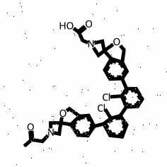 CC(=O)CN1CC2(C1)OCc1cc(-c3cccc(-c4cccc(-c5ccc6c(c5)COC65CN(CC(=O)O)C5)c4Cl)c3Cl)ccc12